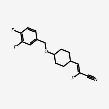 N#CC(F)=CC1CCC(OCc2ccc(F)c(F)c2)CC1